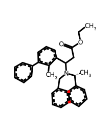 CCOC(=O)CC(c1cccc(-c2ccccc2)c1C)N(Cc1ccccc1)[C@H](C)c1ccccc1